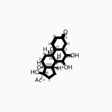 CC(=O)[C@@]1(O)CC[C@H]2[C@@H]3C(O)C(O)C4CC(=O)C=C[C@]4(C)[C@H]3CC[C@@]21C